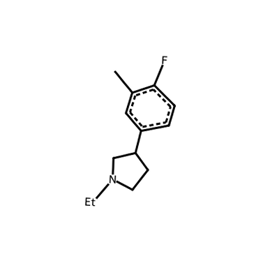 CCN1CCC(c2ccc(F)c(C)c2)C1